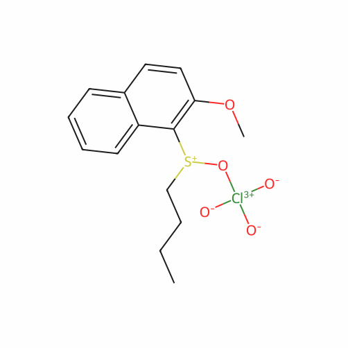 CCCC[S+](O[Cl+3]([O-])([O-])[O-])c1c(OC)ccc2ccccc12